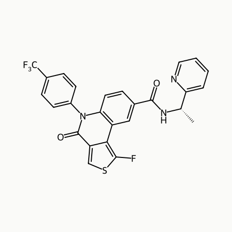 C[C@H](NC(=O)c1ccc2c(c1)c1c(F)scc1c(=O)n2-c1ccc(C(F)(F)F)cc1)c1ccccn1